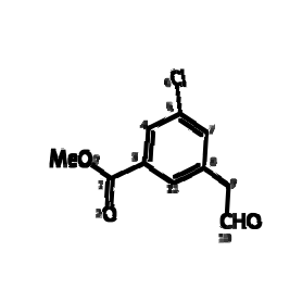 COC(=O)c1cc(Cl)cc(CC=O)c1